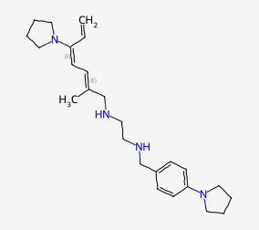 C=C/C(=C\C=C(/C)CNCCNCc1ccc(N2CCCC2)cc1)N1CCCC1